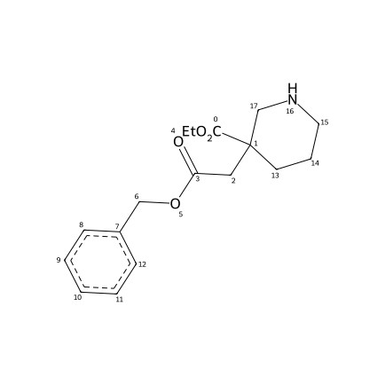 CCOC(=O)C1(CC(=O)OCc2ccccc2)CCCNC1